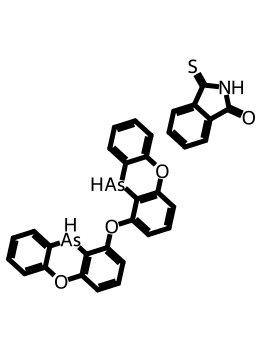 O=C1NC(=S)c2ccccc21.c1ccc2c(c1)Oc1cccc(Oc3cccc4c3[AsH]c3ccccc3O4)c1[AsH]2